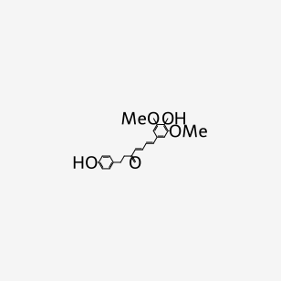 COc1cc(C=CC=CC(=O)CCc2ccc(O)cc2)cc(OC)c1O